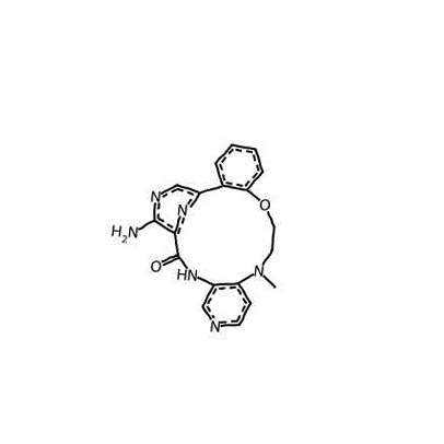 CN1CCOc2ccccc2-c2cnc(N)c(n2)C(=O)Nc2cnccc21